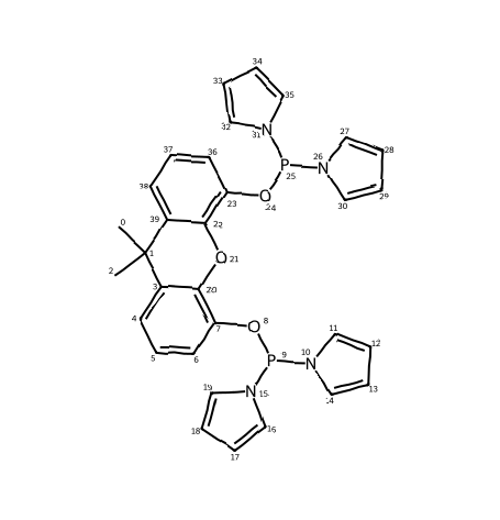 CC1(C)c2cccc(OP(n3cccc3)n3cccc3)c2Oc2c(OP(n3cccc3)n3cccc3)cccc21